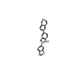 c1cc2cc(-c3ccc4[nH][n+](-c5ccc6ncsc6c5)cc4c3)ccc2cn1